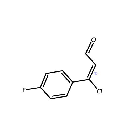 O=C/C=C(/Cl)c1ccc(F)cc1